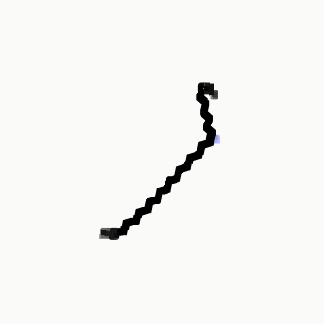 CCCCCC/C=C\CCCCCCCCCCCCCCCCO